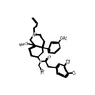 C=CCN1CCC2(c3cccc(OC(C)=O)c3)CC(N(CC(C)C)C(=O)Cc3ccc(Cl)c(Cl)c3)CCC2(OC)C1